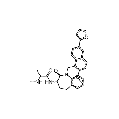 CNC(C)C(=O)NC1CCc2ccccc2N(Cc2c(OC)ccc3cc(-c4ccco4)ccc23)C1=O